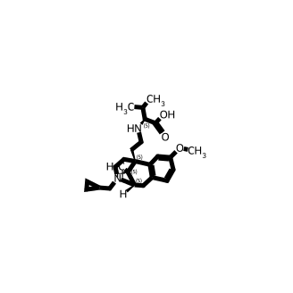 COc1ccc2c(c1)[C@@]1(CCN[C@H](C(=O)O)C(C)C)CCN(CC3CC3)[C@@H](C2)[C@H]1C